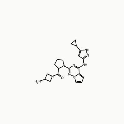 NC1CN(C(=O)C2CCCN2c2nc(Nc3cc(C4CC4)[nH]n3)c3cccn3n2)C1